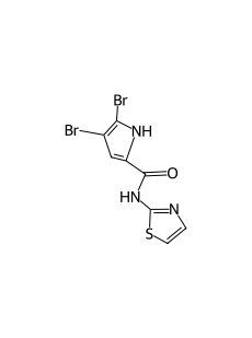 O=C(Nc1nccs1)c1cc(Br)c(Br)[nH]1